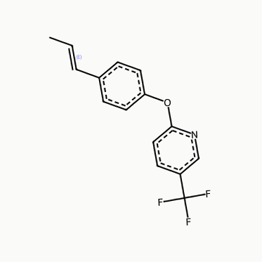 C/C=C/c1ccc(Oc2ccc(C(F)(F)F)cn2)cc1